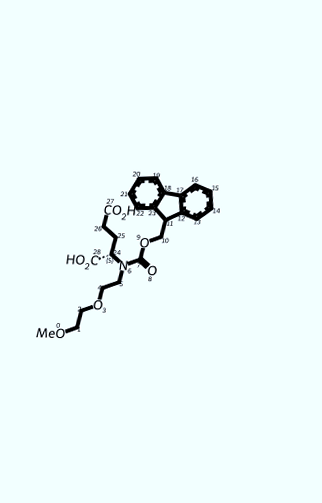 COCCOCCN(C(=O)OCC1c2ccccc2-c2ccccc21)[C@@H](CCC(=O)O)C(=O)O